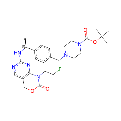 C[C@H](Nc1ncc2c(n1)N(CCF)C(=O)OC2)c1ccc(CN2CCN(C(=O)OC(C)(C)C)CC2)cc1